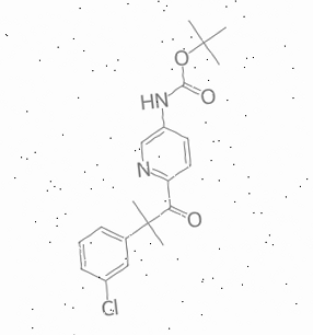 CC(C)(C)OC(=O)Nc1ccc(C(=O)C(C)(C)c2cccc(Cl)c2)nc1